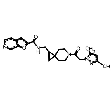 Cc1cc(C)n(CC(=O)N2CCC3(CC2)CC3CNC(=O)c2cc3ccncc3o2)n1